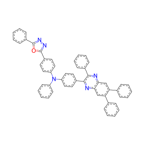 c1ccc(-c2nnc(-c3ccc(N(c4ccccc4)c4ccc(-c5nc6cc(-c7ccccc7)c(-c7ccccc7)cc6nc5-c5ccccc5)cc4)cc3)o2)cc1